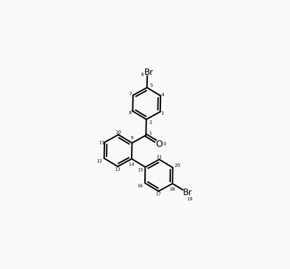 O=C(c1ccc(Br)cc1)c1ccccc1-c1ccc(Br)cc1